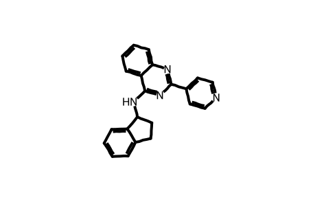 c1ccc2c(c1)CCC2Nc1nc(-c2ccncc2)nc2ccccc12